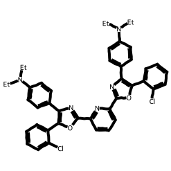 CCN(CC)c1ccc(-c2nc(-c3cccc(-c4nc(-c5ccc(N(CC)CC)cc5)c(-c5ccccc5Cl)o4)n3)oc2-c2ccccc2Cl)cc1